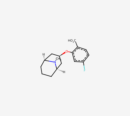 CN1[C@@H]2CCC[C@H]1C[C@@H](Oc1cc(F)ccc1C(=O)O)C2